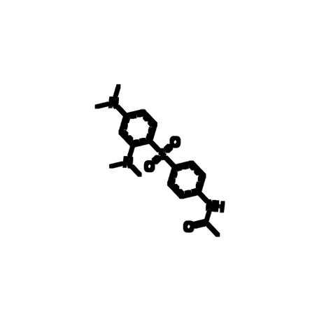 CC(=O)Nc1ccc(S(=O)(=O)c2ccc(N(C)C)cc2N(C)C)cc1